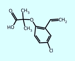 C=Cc1cc(Cl)ccc1OC(C)(C)C(=O)O